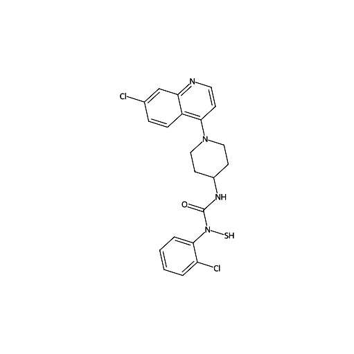 O=C(NC1CCN(c2ccnc3cc(Cl)ccc23)CC1)N(S)c1ccccc1Cl